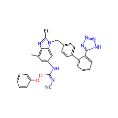 CCc1nc2c(C)cc(NC(=NC#N)OOc3ccccc3)cc2n1Cc1ccc(-c2ccccc2-c2nnn[nH]2)cc1